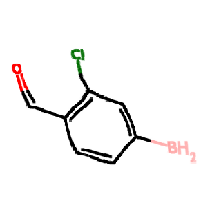 Bc1ccc(C=O)c(Cl)c1